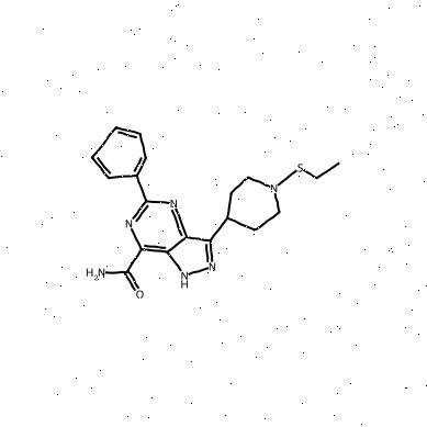 CCSN1CCC(c2n[nH]c3c(C(N)=O)nc(-c4ccccc4)nc23)CC1